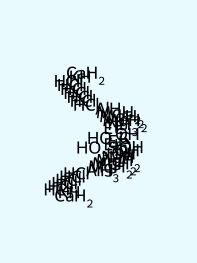 CC(=O)O.CCO.CCO.CCO.Cl.Cl.Cl.Cl.Cl.Cl.Cl.Cl.Cl.Cl.Cl.Cl.Cl.N.O=S(=O)(O)O.[AlH3].[AlH3].[CaH2].[CaH2].[KH].[KH].[LiH].[MgH2].[MgH2].[MgH2].[MgH2].[MgH2].[MgH2].[NaH]